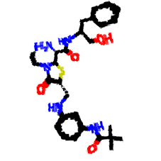 CCN1C(=O)[C@@H](CNc2cccc(NC(=O)C(C)(C)C)c2)SC1[C@H](N)C(=O)N[C@H](CO)Cc1ccccc1